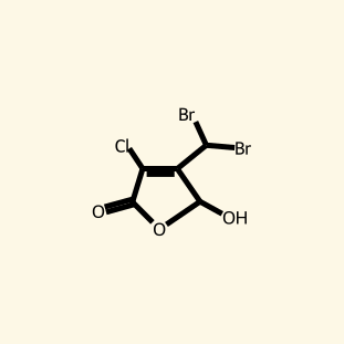 O=C1OC(O)C(C(Br)Br)=C1Cl